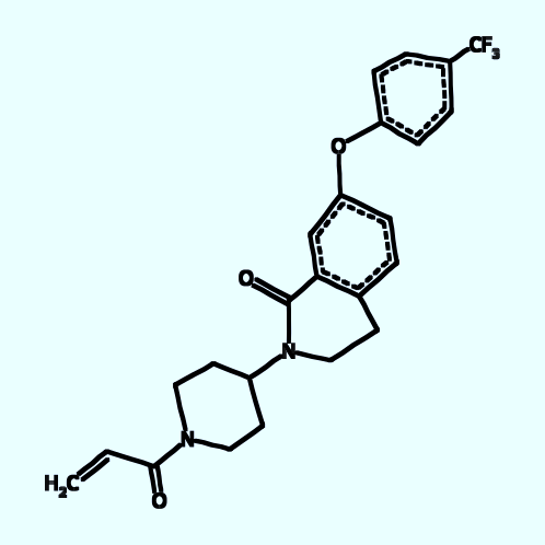 C=CC(=O)N1CCC(N2CCc3ccc(Oc4ccc(C(F)(F)F)cc4)cc3C2=O)CC1